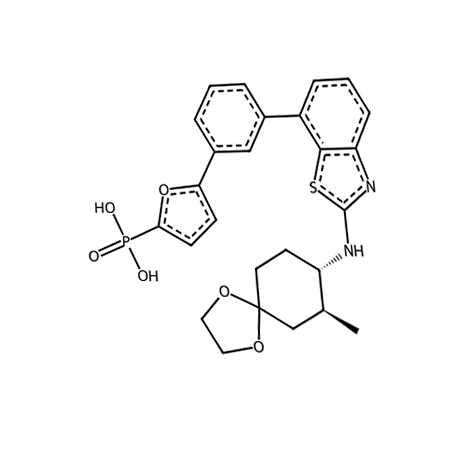 C[C@H]1CC2(CC[C@@H]1Nc1nc3cccc(-c4cccc(-c5ccc(P(=O)(O)O)o5)c4)c3s1)OCCO2